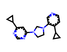 c1cc(C2CC2)c(N2CCN(c3cc(C4CC4)ncn3)C2)cn1